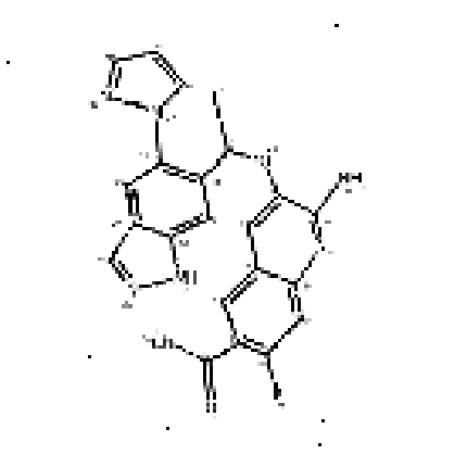 CC(Oc1cc2cc(C(N)=O)c(F)cc2nc1N)c1cc2[nH]ncc2cc1-n1cccn1